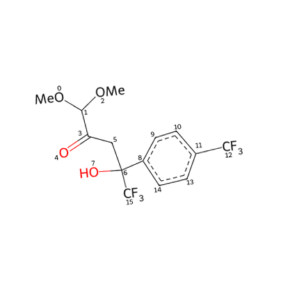 COC(OC)C(=O)CC(O)(c1ccc(C(F)(F)F)cc1)C(F)(F)F